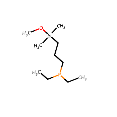 CCP(CC)CCC[Si](C)(C)OC